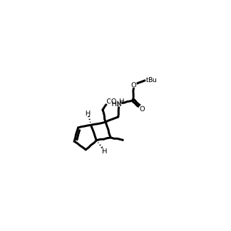 CC1[C@H]2CC=C[C@H]2C1(CNC(=O)OC(C)(C)C)CC(=O)O